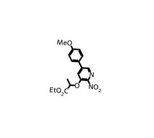 CCOC(=O)C(C)Oc1cc(-c2ccc(OC)cc2)cnc1[N+](=O)[O-]